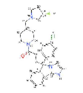 O=C(CCC1(c2ccc(Cl)cc2)c2ccccc2-c2nccn21)N1CCC(CN2CC[C@@H](F)C2)CC1